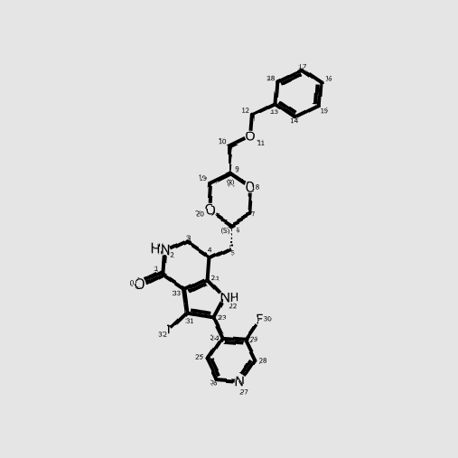 O=C1NCC(C[C@H]2CO[C@H](COCc3ccccc3)CO2)c2[nH]c(-c3ccncc3F)c(I)c21